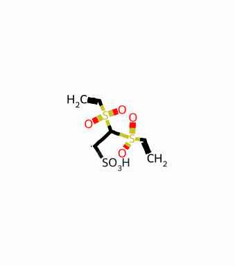 C=CS(=O)(=O)C([CH]S(=O)(=O)O)S(=O)(=O)C=C